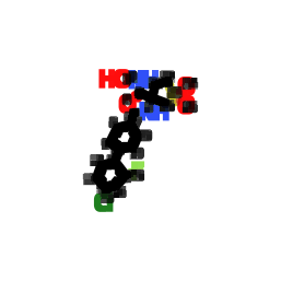 O=C(NO)C1(NCc2ccc(-c3ccc(Cl)cc3F)cc2)CCS(=O)(=O)C1